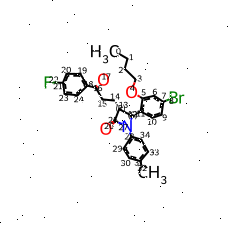 CCCCOc1cc(Br)ccc1[C@@H]1[C@@H](CCC(=O)c2ccc(F)cc2)C(=O)N1c1ccc(C)cc1